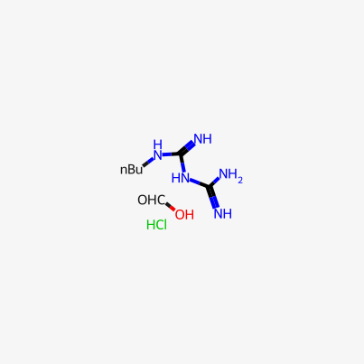 CCCCNC(=N)NC(=N)N.Cl.O=CO